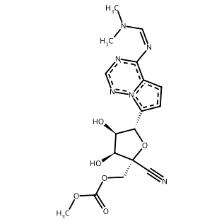 COC(=O)OC[C@@]1(C#N)O[C@@H](c2ccc3c(/N=C\N(C)C)ncnn23)[C@H](O)[C@@H]1O